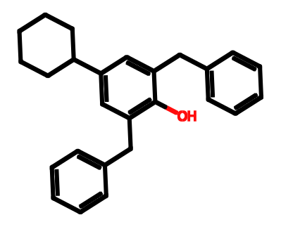 Oc1c(Cc2ccccc2)cc(C2CCCCC2)cc1Cc1ccccc1